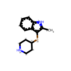 Cc1[nH]c2ccccc2c1SC1CCNCC1